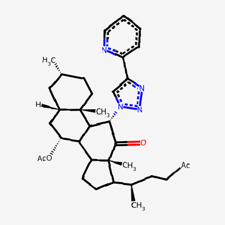 CC(=O)CC[C@@H](C)C1CCC2C3C([C@H](n4cc(-c5ccccn5)nn4)C(=O)[C@@]21C)[C@@]1(C)CC[C@@H](C)C[C@H]1C[C@H]3OC(C)=O